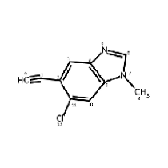 C#Cc1cc2ncn(C)c2cc1Cl